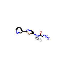 CN(C(=O)CN=[N+]=[N-])c1cnc(-c2cccnc2)s1